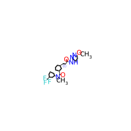 COc1ccc(NC(=O)/C=C/c2cccc(C(=O)N(C)c3cccc(C(F)(F)F)c3)c2)nn1